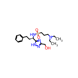 CCN(CC)CCCS(=O)(=O)N[C@H](CCc1ccccc1)c1nc(CO)n[nH]1